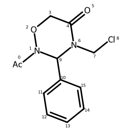 CC(=O)N1OCC(=O)N(CCl)C1c1ccccc1